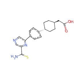 NC(=S)c1cncc(-c2ccc([C@H]3CC[C@H](CC(=O)O)CC3)cc2)n1